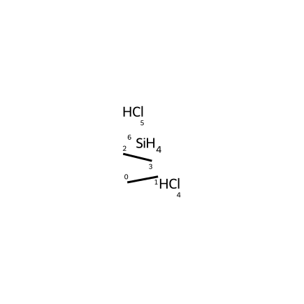 CC.CC.Cl.Cl.[SiH4]